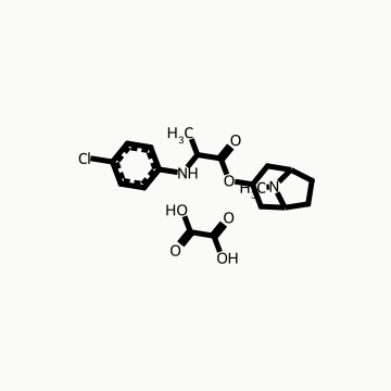 CC(Nc1ccc(Cl)cc1)C(=O)OC1CC2CCC(C1)N2C.O=C(O)C(=O)O